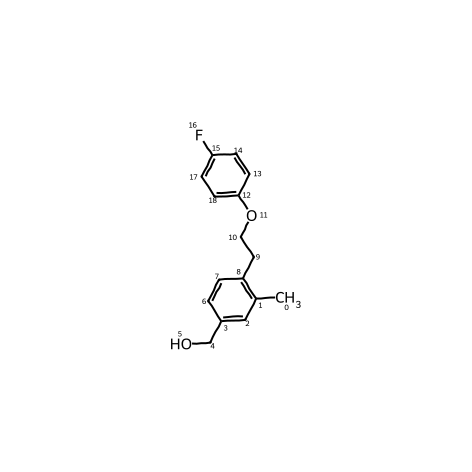 Cc1cc(CO)ccc1CCOc1ccc(F)cc1